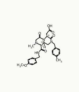 COc1ccc(CNC(=O)N2[C@H]3CN(Cc4ccc(C)cc4)C(=O)[C@H](CC(=O)O)N3C(=O)CN2C)cc1